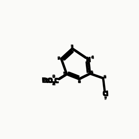 CCOC(=O)c1ccnc(CCl)c1